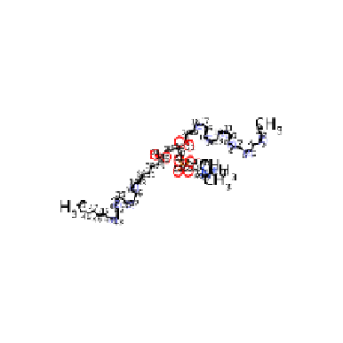 CC/C=C\C/C=C\C/C=C\C/C=C\C/C=C\C/C=C\CCC(=O)O[C@H](COC(=O)CCCCC/C=C\C/C=C\C/C=C\C/C=C\CCCCC)COP(=O)([O-])OCC[N+](C)(C)C